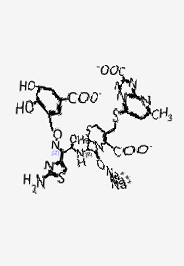 Cc1cc(SCC2=C(C(=O)[O-])N3C(=O)[C@@H](NC(=O)/C(=N\OCc4cc(C(=O)[O-])cc(O)c4O)c4csc(N)n4)[C@H]3SC2)n2nc(C(=O)[O-])nc2n1.[Na+].[Na+].[Na+]